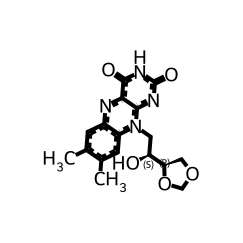 Cc1cc2nc3c(=O)[nH]c(=O)nc-3n(C[C@H](O)[C@H]3COCO3)c2cc1C